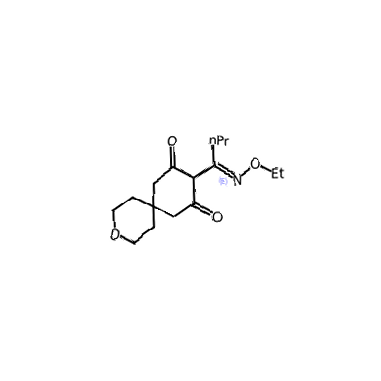 CCC/C(=N\OCC)C1C(=O)CC2(CCOCC2)CC1=O